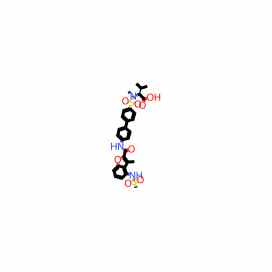 Cc1c(C(=O)Nc2ccc(-c3ccc(S(=O)(=O)N(C)[C@H](C(=O)O)C(C)C)cc3)cc2)oc2cccc(NS(C)(=O)=O)c12